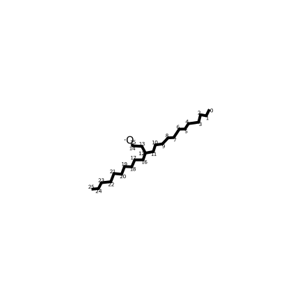 CCCCCCCCCCCCC(CC[O])CCCCCCCCCC